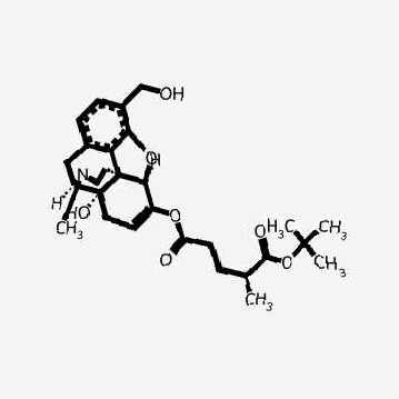 C[C@@H](CCC(=O)OC1=CC[C@@]2(O)[C@H]3Cc4ccc(CO)c5c4[C@@]2(CCN3C)[C@H]1O5)C(=O)OC(C)(C)C